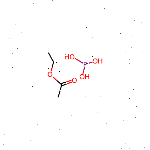 CCOC(C)=O.OP(O)O